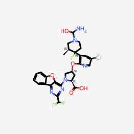 C[C@H]1CN(C(N)O)CC[C@]1(F)c1cc(Cl)cnc1O[C@H]1C[C@@H](C(=O)O)N(c2nc(C(F)F)nc3c2oc2ccccc23)C1